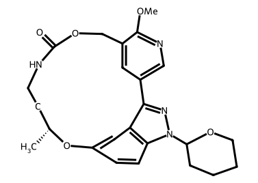 COc1ncc2cc1COC(=O)NCC[C@@H](C)Oc1ccc3c(c1)c-2nn3C1CCCCO1